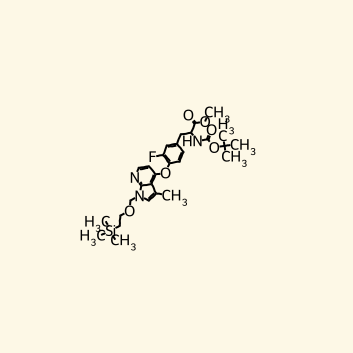 COC(=O)C(Cc1ccc(Oc2ccnc3c2c(C)cn3COCC[Si](C)(C)C)c(F)c1)NC(=O)OC(C)(C)C